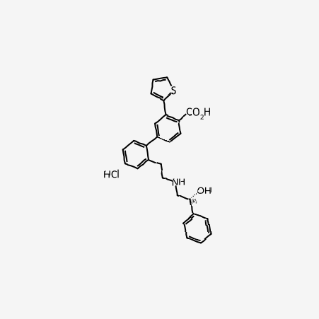 Cl.O=C(O)c1ccc(-c2ccccc2CCNC[C@H](O)c2ccccc2)cc1-c1cccs1